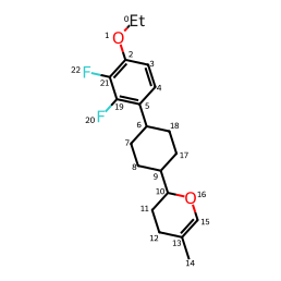 CCOc1ccc(C2CCC(C3CCC(C)=CO3)CC2)c(F)c1F